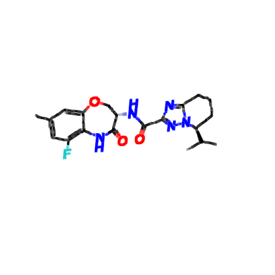 Cc1cc(F)c2c(c1)OC[C@H](NC(=O)c1nc3n(n1)[C@H](C(C)C)CCC3)C(=O)N2